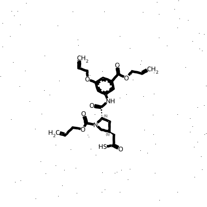 C=CCOC(=O)c1cc(NC(=O)[C@@H]2C[C@@H](CC(=O)S)CN2C(=O)OCC=C)cc(OCC=C)c1